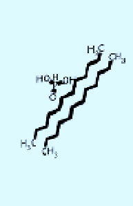 CCCCCCCCCCCC.CCCCCCCCCCCC.O=[PH](O)O